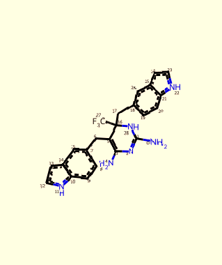 NC1=NC(N)=C(Cc2ccc3[nH]ccc3c2)C(Cc2ccc3[nH]ccc3c2)(C(F)(F)F)N1